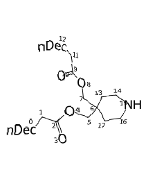 CCCCCCCCCCCC(=O)OCC1(COC(=O)CCCCCCCCCCC)CCNCC1